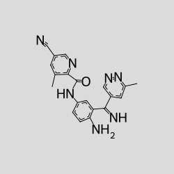 Cc1cc(C(=N)c2cc(NC(=O)c3ncc(C#N)cc3C)ccc2N)cnn1